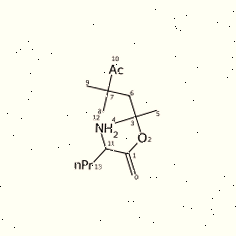 C=C(OC(C)(C)CC(C)(C)C(C)=O)C(N)CCC